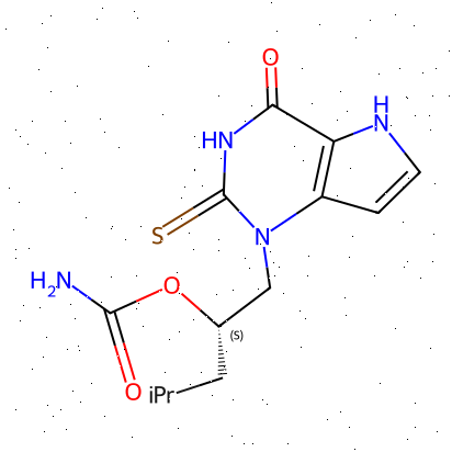 CC(C)C[C@@H](Cn1c(=S)[nH]c(=O)c2[nH]ccc21)OC(N)=O